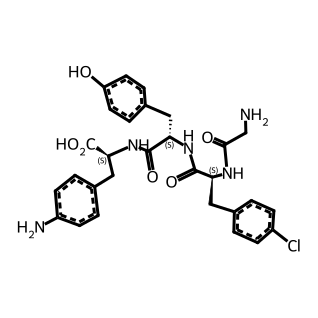 NCC(=O)N[C@@H](Cc1ccc(Cl)cc1)C(=O)N[C@@H](Cc1ccc(O)cc1)C(=O)N[C@@H](Cc1ccc(N)cc1)C(=O)O